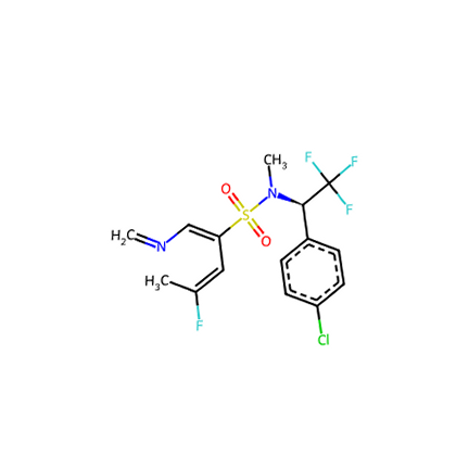 C=N/C=C(\C=C(/C)F)S(=O)(=O)N(C)[C@H](c1ccc(Cl)cc1)C(F)(F)F